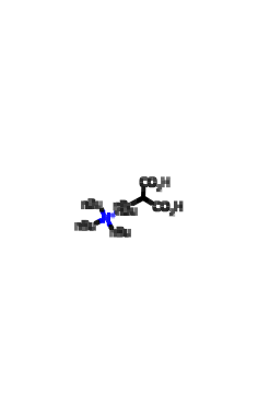 CCCC(C(=O)O)C(=O)O.CCCC[N+](CCCC)(CCCC)CCCC